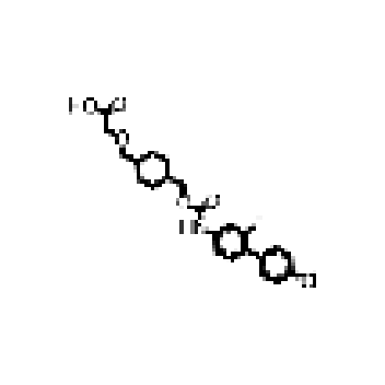 O=C(O)COCC1CCC(COC(=O)Nc2ccc(-c3ccc(Cl)cc3)c(F)c2)CC1